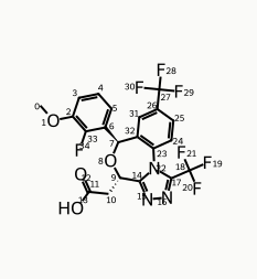 COc1cccc([C@@H]2O[C@@H](CC(=O)O)c3nnc(C(F)(F)F)n3-c3ccc(C(F)(F)F)cc32)c1F